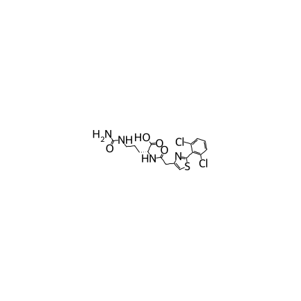 NC(=O)NCCC[C@@H](NC(=O)Cc1csc(-c2c(Cl)cccc2Cl)n1)C(=O)O